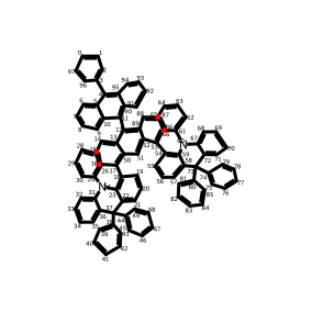 c1ccc(-c2c3ccccc3c(-c3c4cccc(-c5cccc6c5N(c5ccccc5)c5ccccc5C6(c5ccccc5)c5ccccc5)c4cc4c(-c5cccc6c5N(c5ccccc5)c5ccccc5C6(c5ccccc5)c5ccccc5)cccc34)c3ccccc23)cc1